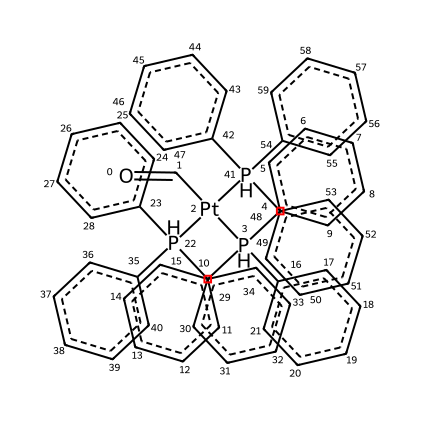 O=[CH][Pt]([PH](c1ccccc1)(c1ccccc1)c1ccccc1)([PH](c1ccccc1)(c1ccccc1)c1ccccc1)[PH](c1ccccc1)(c1ccccc1)c1ccccc1